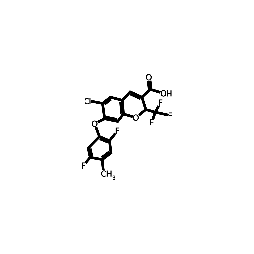 Cc1cc(F)c(Oc2cc3c(cc2Cl)C=C(C(=O)O)C(C(F)(F)F)O3)cc1F